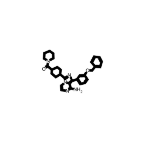 Nc1nccn2c(C3CCC(C(=O)N4CCCCC4)CC3)nc(-c3cccc(OCc4ccccc4)c3)c12